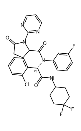 O=C(NC1CCC(F)(F)CC1)[C@H](c1ccccc1Cl)N(C(=O)C1CCC(=O)N1c1ncccn1)c1cccc(F)c1